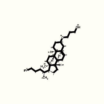 CC(C)CCC[C@@H](C)[C@H]1CC[C@H]2[C@@H]3CC=C4CC(OCCCO)CC[C@@H]4[C@H]3CC[C@]12C